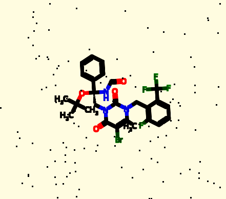 Cc1c(Br)c(=O)n(C[C@](NC=O)(OC(C)(C)C)c2ccccc2)c(=O)n1Cc1c(F)cccc1C(F)(F)F